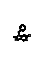 CC1Nc2cnc(Cl)cc2N1Cc1ccccc1